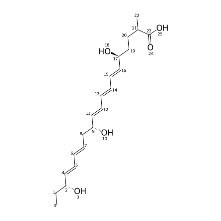 CC[C@@H](O)C=CC=CC[C@@H](O)C=CC=CC=C[C@@H](O)CCC(C)C(=O)O